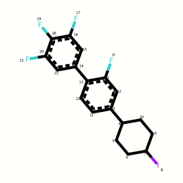 Fc1cc(C2CCC(I)CC2)ccc1-c1cc(F)c(F)c(F)c1